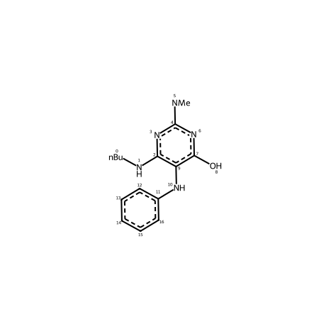 CCCCNc1nc(NC)nc(O)c1Nc1ccccc1